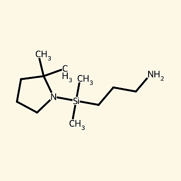 CC1(C)CCCN1[Si](C)(C)CCCN